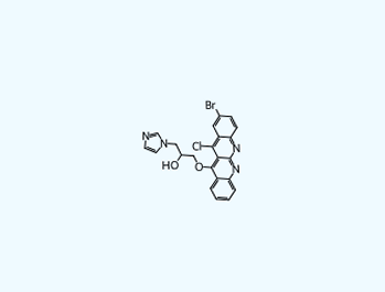 OC(COc1c2ccccc2nc2nc3ccc(Br)cc3c(Cl)c12)Cn1ccnc1